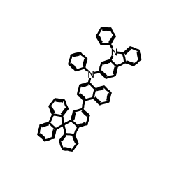 c1ccc(N(c2ccc3c4ccccc4n(-c4ccccc4)c3c2)c2ccc(-c3ccc4c(c3)C3(c5ccccc5-c5ccccc53)c3ccccc3-4)c3ccccc23)cc1